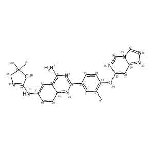 Cc1cc(-c2nc(N)c3cc(NC4=NCC(C)(C)O4)ccc3n2)ccc1Oc1cc2nncn2cn1